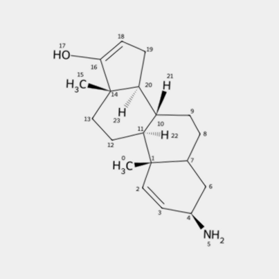 C[C@]12C=C[C@H](N)CC1CC[C@@H]1[C@@H]2CC[C@]2(C)C(O)=CC[C@@H]12